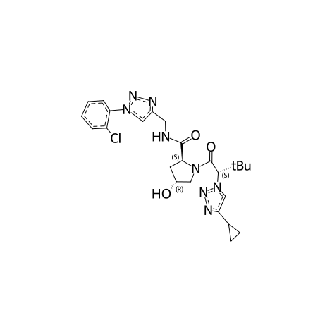 CC(C)(C)[C@@H](C(=O)N1C[C@H](O)C[C@H]1C(=O)NCc1cn(-c2ccccc2Cl)nn1)n1cc(C2CC2)nn1